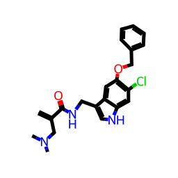 C=C(CN(C)C)C(=O)NCc1c[nH]c2cc(Cl)c(OCc3ccccc3)cc12